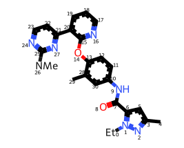 CCn1nc(C)cc1C(=O)Nc1ccc(Oc2ncccc2-c2ccnc(NC)n2)c(C)c1